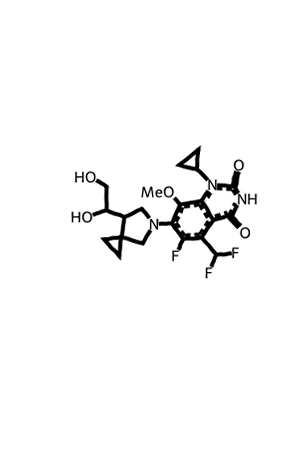 COc1c(N2CC(C(O)CO)C3(CC3)C2)c(F)c(C(F)F)c2c(=O)[nH]c(=O)n(C3CC3)c12